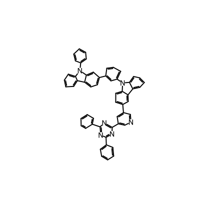 c1ccc(-c2nc(-c3ccccc3)nc(-c3cncc(-c4ccc5c(c4)c4ccccc4n5-c4cccc(-c5ccc6c7ccccc7n(-c7ccccc7)c6c5)c4)c3)n2)cc1